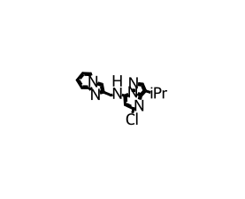 CC(C)c1cnn2c(NCc3cn4ccccc4n3)cc(Cl)nc12